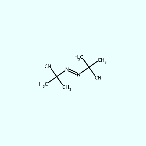 [C-]#[N+]C(C)(C)N=NC(C)(C)C#N